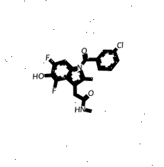 CNC(=O)Cc1c(C)n(C(=O)c2cccc(Cl)c2)c2cc(F)c(O)c(F)c12